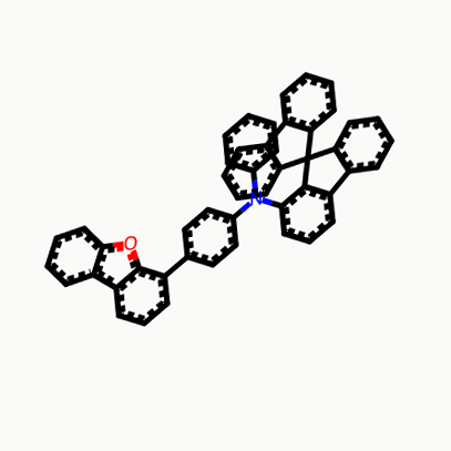 c1ccc(N(c2ccc(-c3cccc4c3oc3ccccc34)cc2)c2cccc3c2C2(c4ccccc4-c4ccccc42)c2ccccc2-3)cc1